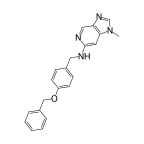 Cn1cnc2cnc(NCc3ccc(OCc4ccccc4)cc3)cc21